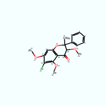 COC1(c2ccccc2)Oc2cc(OC(C)C)c(Br)c(OC(C)C)c2C(=O)C1OC(C)C